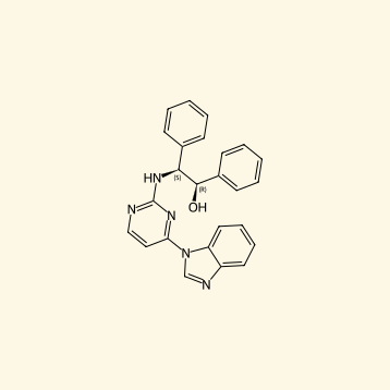 O[C@H](c1ccccc1)[C@@H](Nc1nccc(-n2cnc3ccccc32)n1)c1ccccc1